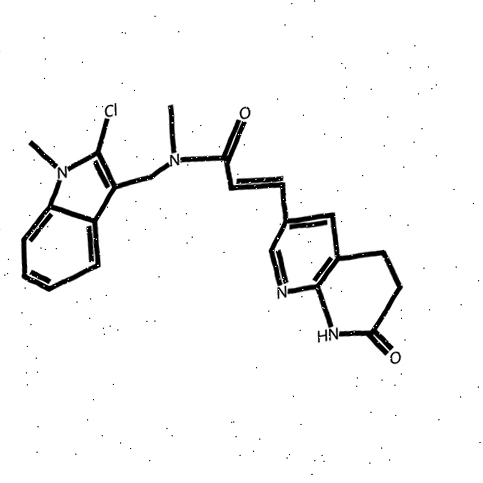 CN(Cc1c(Cl)n(C)c2ccccc12)C(=O)/C=C/c1cnc2c(c1)CCC(=O)N2